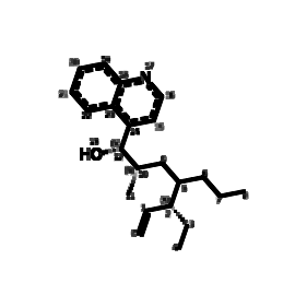 C=C[C@@H](CC)C(CCC)C[C@H](C)[C@H](O)c1ccnc2ccccc12